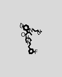 COc1ccc2c(c1)c(C(=O)N1CCN(CCc3cccc(F)c3)CC1)c(C)n2CCCN(C)C